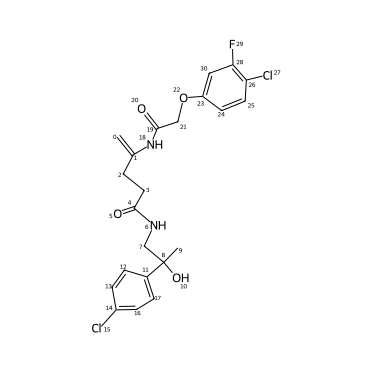 C=C(CCC(=O)NCC(C)(O)c1ccc(Cl)cc1)NC(=O)COc1ccc(Cl)c(F)c1